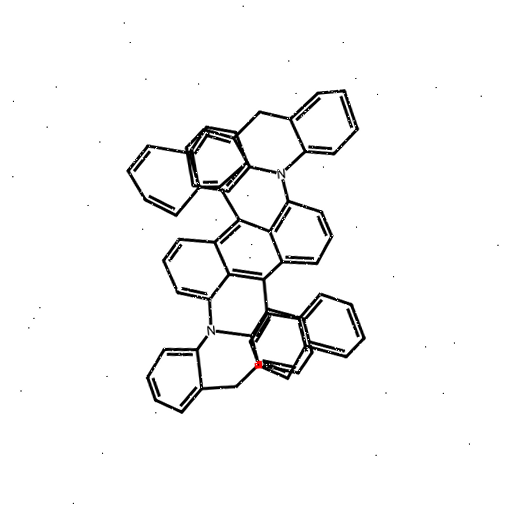 C1=c2ccccc2=C(c2c3cccc(N4c5ccccc5Cc5ccccc54)c3c(-c3cccc4ccccc34)c3cccc(N4c5ccccc5Cc5ccccc54)c23)CC1